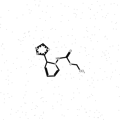 O=C(NN1C=CC=CC1c1nncs1)OCC(Cl)(Cl)Cl